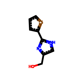 OCc1c[nH]c(-c2cccs2)n1